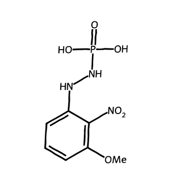 COc1cccc(NNP(=O)(O)O)c1[N+](=O)[O-]